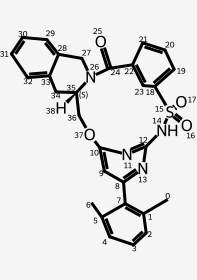 Cc1cccc(C)c1-c1cc2nc(n1)NS(=O)(=O)c1cccc(c1)C(=O)N1Cc3ccccc3C[C@H]1CO2